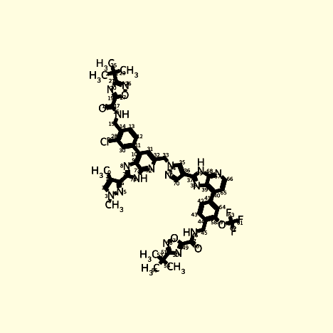 Cc1cn(C)nc1-c1nc2c(-c3ccc(CNC(=O)c4nc(C(C)(C)C)no4)c(Cl)c3)cc(Cn3cc(-c4nc5c(-c6ccc(CNC(=O)c7nc(C(C)(C)C)no7)c(OC(F)(F)F)c6)ccnc5[nH]4)cn3)nc2[nH]1